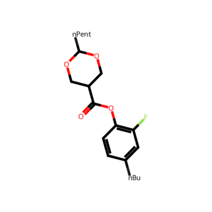 CCCCCC1OCC(C(=O)Oc2ccc(CCCC)cc2F)CO1